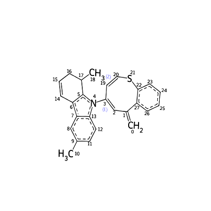 C=C1/C=C(n2c3c(c4cc(C)ccc42)C=CCC3C)\C=C/Sc2ccccc21